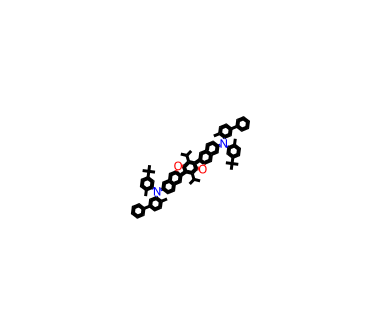 Cc1ccc(-c2ccccc2)cc1N(c1ccc2cc3c(cc2c1)oc1c(C(C)C)c2c(oc4cc5cc(N(c6cc(-c7ccccc7)ccc6C)c6cc(C(C)(C)C)ccc6C)ccc5cc42)c(C(C)C)c13)c1cc(C(C)(C)C)ccc1C